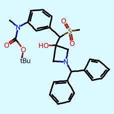 CN(C(=O)OC(C)(C)C)c1cccc(C(C2(O)CN(C(c3ccccc3)c3ccccc3)C2)S(C)(=O)=O)c1